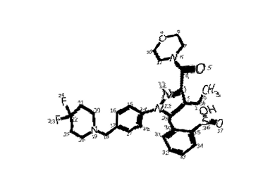 CCc1c(C(=O)N2CCOCC2)nn(-c2ccc(CN3CCC(F)(F)CC3)cc2)c1-c1ccccc1S(=O)O